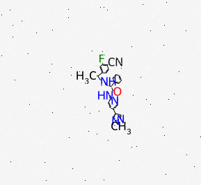 C[C@H](CNCC(C(=O)Nc1ccc(-c2cnn(C)c2)cn1)c1ccccc1)c1ccc(C#N)c(F)c1